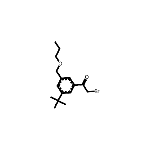 CCCOCc1cc(C(=O)CBr)cc(C(C)(C)C)c1